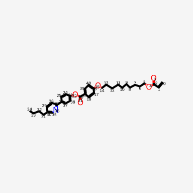 C=CC(=O)OCCCCCCCCCCOc1ccc(C(=O)Oc2ccc(-c3ccc(CCCC)cn3)cc2)cc1